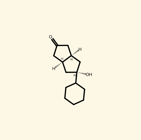 O=C1C[C@@H]2C[C@](O)(C3CCCCC3)C[C@@H]2C1